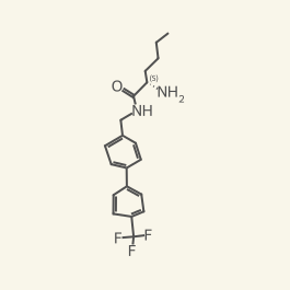 CCCC[C@H](N)C(=O)NCc1ccc(-c2ccc(C(F)(F)F)cc2)cc1